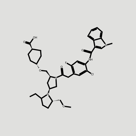 CCC1CC[C@@H](COC)N1[C@H]1C[C@@H](CO[C@H]2CC[C@H](C(=O)O)CC2)N(C(=O)Cc2cc(Cl)c(NC(=O)c3cn(C)c4ccccc34)cc2F)C1